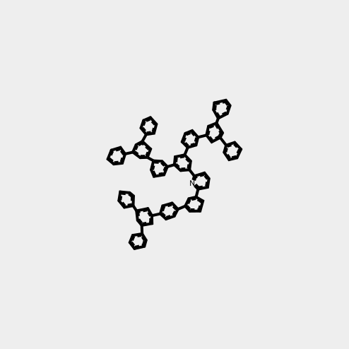 c1ccc(-c2cc(-c3ccccc3)cc(-c3ccc(-c4cccc(-c5cccc(-c6cc(-c7cccc(-c8cc(-c9ccccc9)cc(-c9ccccc9)c8)c7)cc(-c7cccc(-c8cc(-c9ccccc9)cc(-c9ccccc9)c8)c7)c6)n5)c4)cc3)c2)cc1